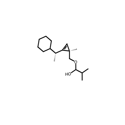 CC(C)C(O)OC[C@]1(C)C=C1[C@H](C)C1CCCCC1